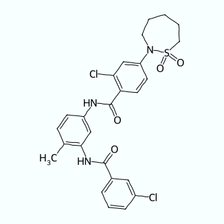 Cc1ccc(NC(=O)c2ccc(N3CCCCCS3(=O)=O)cc2Cl)cc1NC(=O)c1cccc(Cl)c1